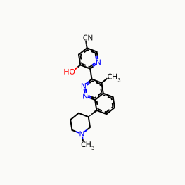 Cc1c(-c2ncc(C#N)cc2O)nnc2c([C@@H]3CCCN(C)C3)cccc12